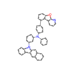 c1ccc(N(c2ccc(-c3cccc4oc5ncccc5c34)cc2)c2cccc(-n3c4ccccc4c4cc5ccccc5cc43)c2)cc1